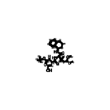 COC(CC(C)(C)C(NC(=O)[C@H](CCO)NC(=O)OC(C)(C)C)C(=O)NC1CCCc2ccccc21)OC